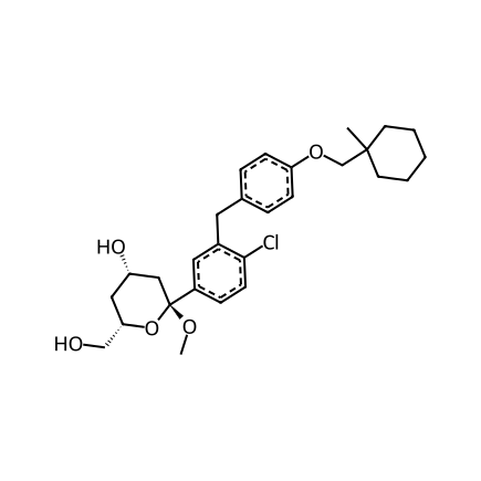 CO[C@]1(c2ccc(Cl)c(Cc3ccc(OCC4(C)CCCCC4)cc3)c2)C[C@@H](O)C[C@@H](CO)O1